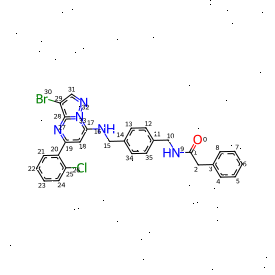 O=C(Cc1ccccc1)NCc1ccc(CNc2cc(-c3ccccc3Cl)nc3c(Br)cnn23)cc1